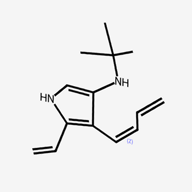 C=C/C=C\c1c(NC(C)(C)C)c[nH]c1C=C